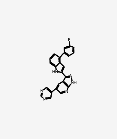 Fc1cccc(-c2cccc3[nH]c(-c4n[nH]c5ncc(-c6cncnc6)cc45)cc23)c1